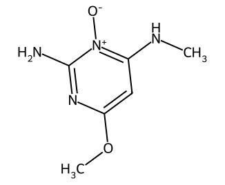 CNc1cc(OC)nc(N)[n+]1[O-]